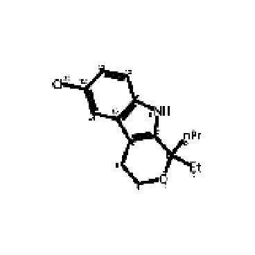 CCCC1(CC)OCCc2c1[nH]c1ccc(Cl)cc21